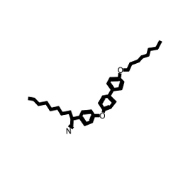 CCCCCCCCOc1ccc(-c2ccc(Oc3ccc(C(C#N)CCCCCCCC)cc3)cc2)cc1